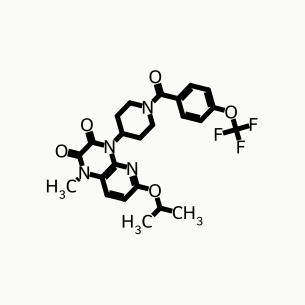 CC(C)Oc1ccc2c(n1)n(C1CCN(C(=O)c3ccc(OC(F)(F)F)cc3)CC1)c(=O)c(=O)n2C